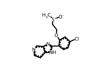 C[S+]([O-])CCOc1cc(Cl)ccc1-c1nc2cnccc2[nH]1